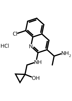 CC(N)c1cc2cccc(Cl)c2nc1NCC1(O)CC1.Cl